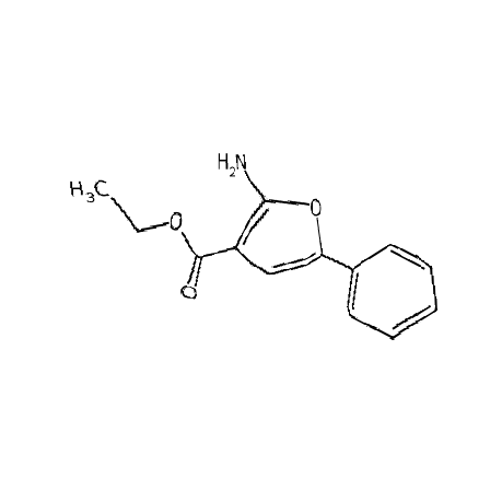 CCOC(=O)c1cc(-c2ccccc2)oc1N